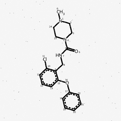 CN1CCN(C(=O)NCc2c(Cl)cccc2Oc2ccccc2)CC1